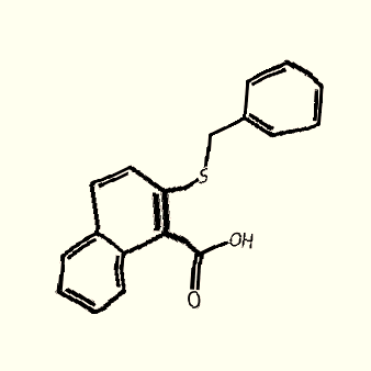 O=C(O)c1c(SCc2ccccc2)ccc2ccccc12